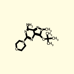 Cn1nc2c(N)nc(N3CCOCC3)nc2c1OC(C)(C)C